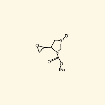 CC(C)(C)OC(=O)N1C[S+]([O-])C[C@@H]1C1CO1